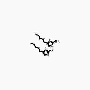 CCCCCc1cnc(Br)s1.CCCCCc1cnc(N)s1